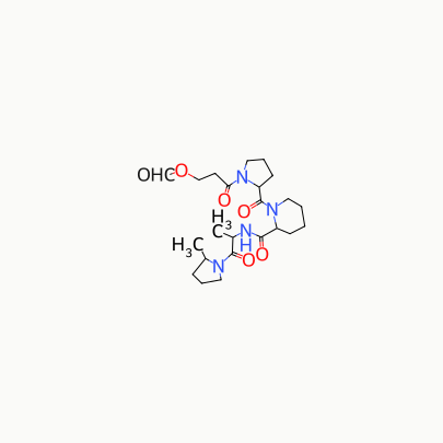 CC(NC(=O)C1CCCCN1C(=O)C1CCCN1C(=O)CCOC=O)C(=O)N1CCCC1C